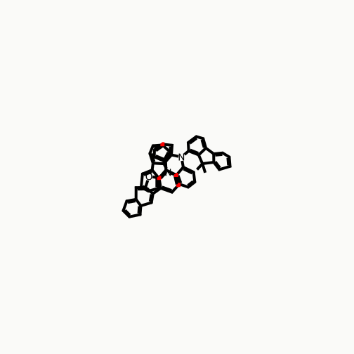 CC1(C)c2ccccc2-c2cccc(N(c3ccccc3-c3cccc4c3oc3cc5ccccc5cc34)c3ccccc3-n3c4ccccc4c4ccccc43)c21